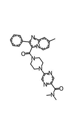 Cc1ccn2c(C(=O)N3CCN(c4cnc(C(=O)N(C)C)cn4)CC3)c(-c3ccccc3)nc2c1